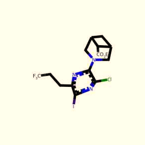 CCOC(=O)C1C2CC1CN(c1nc(CCC(F)(F)F)c(I)nc1Cl)C2